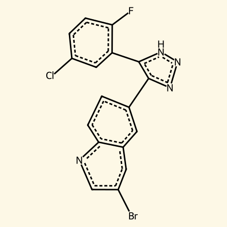 Fc1ccc(Cl)cc1-c1[nH]nnc1-c1ccc2ncc(Br)cc2c1